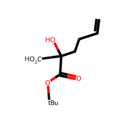 C=CCCC(O)(C(=O)O)C(=O)OC(C)(C)C